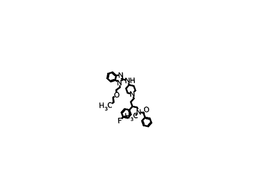 CCCOCCn1c(NC2CCN(CCC(CN(C)C(=O)c3ccccc3)c3ccc(F)cc3)CC2)nc2ccccc21